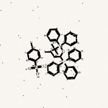 CCCC(O[Si](c1ccccc1)(c1ccccc1)C(C)(C)C)[P+](c1ccccc1)(c1ccccc1)c1ccccc1.Cc1ccc(S(=O)(=O)[O-])cc1